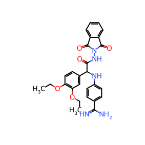 CCOc1ccc(C(Nc2ccc(C(=N)N)cc2)C(=O)NN2C(=O)c3ccccc3C2=O)cc1OCC